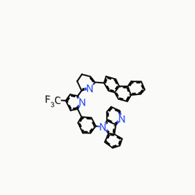 FC(F)(F)c1cc(C2=NC(c3ccc4c(ccc5ccccc54)c3)=CCC2)nc(-c2cccc(-n3c4ccccc4c4ncccc43)c2)c1